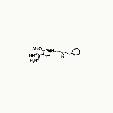 COc1cc(NCCNCCc2ccccc2)ccc1/C(C=N)=C/N